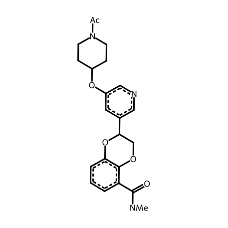 CNC(=O)c1cccc2c1OCC(c1cncc(OC3CCN(C(C)=O)CC3)c1)O2